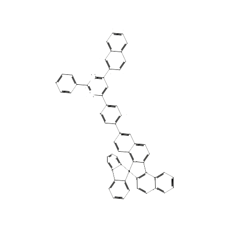 c1ccc(-c2nc(-c3ccc(-c4ccc5c6c(ccc5c4)-c4c(ccc5ccccc45)C64c5ccccc5-c5ccccc54)cc3)cc(-c3ccc4ccccc4c3)n2)cc1